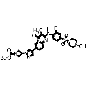 CCCCOC(=O)N1CC(n2cc(-c3ccc4nc(Nc5ccc(S(=O)(=O)N6CCN(C)CC6)cc5F)c(C)c(=O)n4c3)cn2)C1